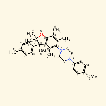 COc1ccc(N2CCN(c3c(C)c(C)c4c(c3C)C(OC)(c3ccc(C)cc3)C(C)(C)O4)CC2)cc1